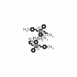 CCC(O)CNC(C(=O)N(CCc1ccc(C)cc1)c1ccc(C)c(C)c1)c1ccccc1.Cc1ccc(CCN(C(=O)C(NCc2ccco2)c2ccccc2)c2ccc(C)c(C)c2)cc1